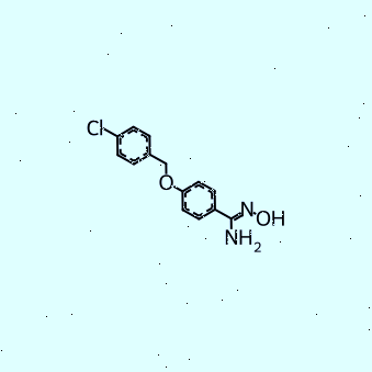 N/C(=N\O)c1ccc(OCc2ccc(Cl)cc2)cc1